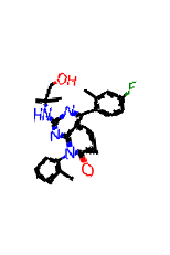 Cc1cc(F)ccc1-c1nc(NC(C)(C)CO)nc2c1ccc(=O)n2-c1ccccc1C